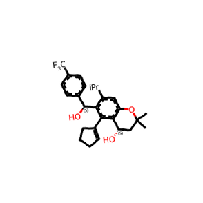 CC(C)c1cc2c(c(C3=CCCC3)c1[C@@H](O)c1ccc(C(F)(F)F)cc1)[C@@H](O)CC(C)(C)O2